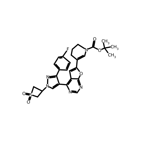 CC(C)(C)OC(=O)N1C=C(c2cc3c(-c4cn(C5CS(=O)(=O)C5)nc4-c4ccc(F)cc4)ncnc3o2)CCC1